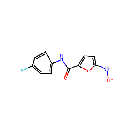 O=C(Nc1ccc(F)cc1)c1ccc(NO)o1